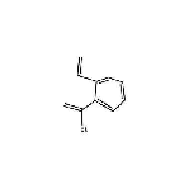 C=Cc1ccccc1C(=C)CC